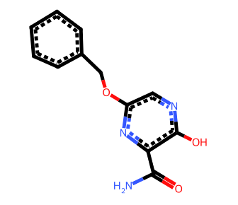 NC(=O)c1nc(OCc2ccccc2)cnc1O